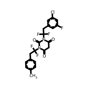 Cc1ccc(CC(F)(F)N2C(=O)CC(=O)N(C(F)(F)Cc3cc(F)cc(Cl)c3)C2=O)cc1